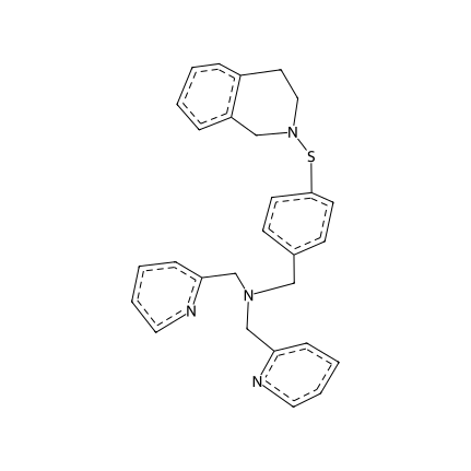 c1ccc(CN(Cc2ccc(SN3CCc4ccccc4C3)cc2)Cc2ccccn2)nc1